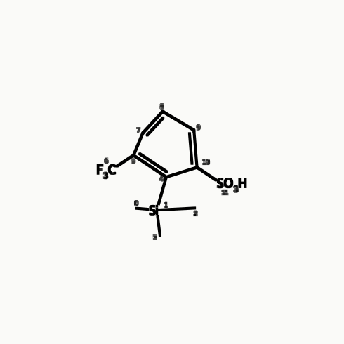 C[Si](C)(C)c1c(C(F)(F)F)cccc1S(=O)(=O)O